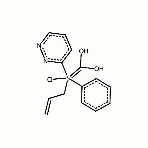 C=CCS(Cl)(=C(O)O)(c1ccccc1)c1cccnn1